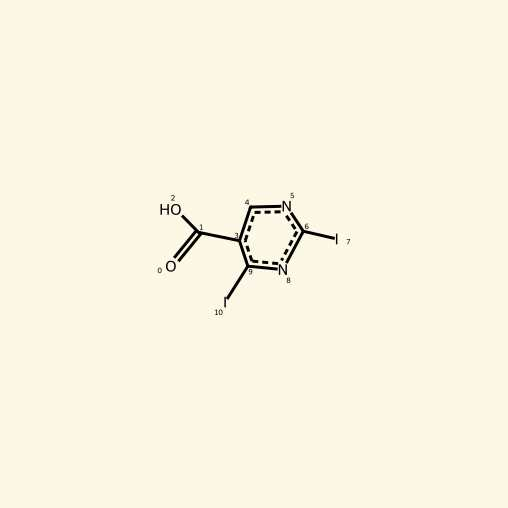 O=C(O)c1cnc(I)nc1I